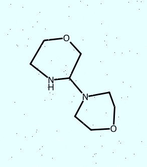 C1COC[C](N2CCOCC2)N1